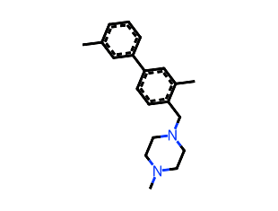 Cc1cccc(-c2ccc(CN3CCN(C)CC3)c(C)c2)c1